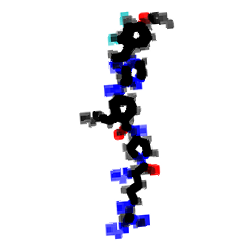 CCc1cc(Nc2nccn3c(-c4ccc(OC)c(F)c4F)cnc23)ccc1C(=O)NC1CCN(C(=O)C(N)CCCNC(=N)N)CC1